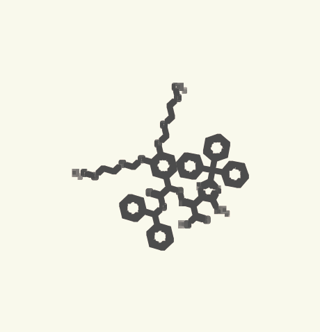 COCCOCOc1ccc(C(O/N=C(/C(=O)O)c2nc(C(c3ccccc3)(c3ccccc3)c3ccccc3)sc2N)C(=O)OC(c2ccccc2)c2ccccc2)cc1OCOCCOC